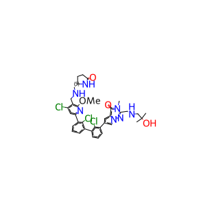 COc1nc(-c2cccc(-c3cccc(-c4cc5c(=O)n(C)c(CNCC(C)(C)O)nn5c4)c3Cl)c2Cl)cc(Cl)c1CNC[C@@H]1CCC(=O)N1